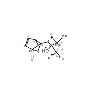 OC(CC1C[C@H]2C=CC1C2)(C(F)(F)F)C(F)(F)F